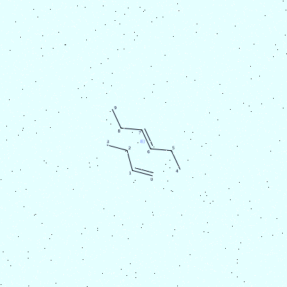 C=CCC.CC/C=C/CC